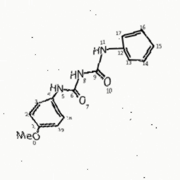 COc1ccc(NC(=O)NC(=O)Nc2ccccc2)cc1